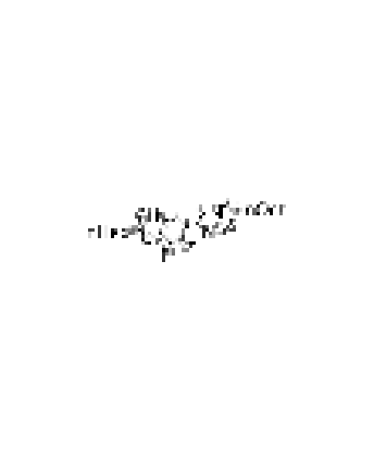 CCCCCCCCc1cn2cc(-c3ccc(O[C@@H](C)CCCCCC)c(F)c3F)nc2s1